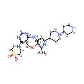 Cc1nc(C2CCN(C3CCNCC3)CC2)cc2c1OCc1c(ncnc1N1CCS(=O)(=O)CC1)N2